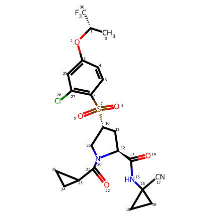 C[C@H](Oc1ccc(S(=O)(=O)[C@@H]2C[C@@H](C(=O)NC3(C#N)CC3)N(C(=O)C3CC3)C2)c(Cl)c1)C(F)(F)F